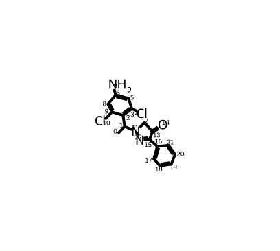 CC(c1c(Cl)cc(N)cc1Cl)N1CC(=O)C(c2ccccc2)=N1